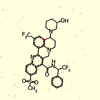 CS(=O)(=O)c1ccc2nc(-c3cccc(C(F)(F)F)c3)c(CN3CCC(N4CCC[C@@H](O)C4)CC3)c(C(=O)NC(c3ccccc3)C(F)(F)F)c2c1